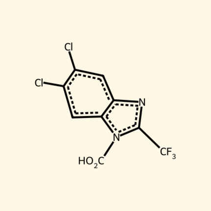 O=C(O)n1c(C(F)(F)F)nc2cc(Cl)c(Cl)cc21